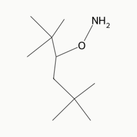 CC(C)(C)CC(ON)C(C)(C)C